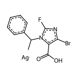 CC(c1ccccc1)n1c(F)nc(Br)c1C(=O)O.[Ag]